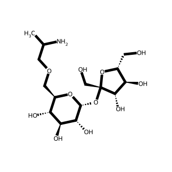 CC(N)COC[C@H]1O[C@H](O[C@]2(CO)O[C@H](CO)[C@@H](O)[C@@H]2O)[C@H](O)[C@@H](O)[C@@H]1O